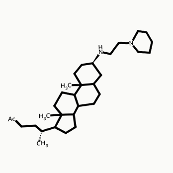 CC(=O)CC[C@@H](C)C1CCC2C3CCC4C[C@H](NCCN5CCCCC5)CCC4(C)C3CCC21C